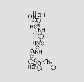 O=C(COc1cccc([C@](O)(C(=O)OCC2CCN(Cc3ccccc3)CC2)c2ccccc2)c1)N[C@H]1C[C@H](NC(=O)c2ccc(CNC[C@H](O)c3ccc(O)c4[nH]c(=O)ccc34)c(Cl)c2)C1